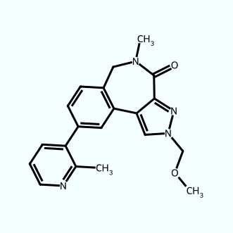 COCn1cc2c(n1)C(=O)N(C)Cc1ccc(-c3cccnc3C)cc1-2